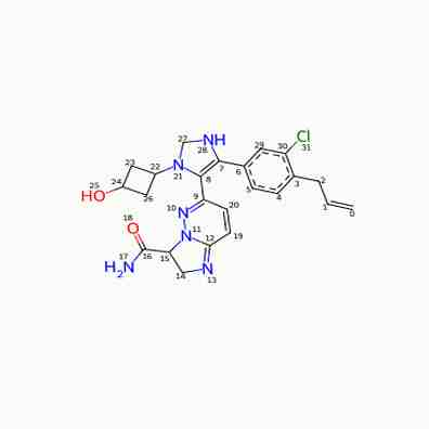 C=CCc1ccc(C2=C(C3=NN4C(=NCC4C(N)=O)C=C3)N(C3CC(O)C3)CN2)cc1Cl